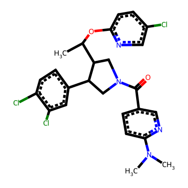 CC(Oc1ccc(Cl)cn1)C1CN(C(=O)c2ccc(N(C)C)nc2)CC1c1ccc(Cl)c(Cl)c1